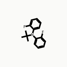 CC(C)(C)N(c1ccccc1F)c1ccccc1F